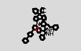 N=C(/C(=C1\NC(c2ccccc2)=Cc2ccc(N(c3ccc(-c4ccc(-c5ccccc5)cc4)cc3)c3cccc4c3-c3ccccc3C4(c3ccccc3)c3ccccc3)cc21)c1ccccc1)c1ccccc1